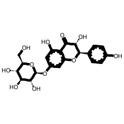 O=C1c2c(O)cc(O[C@@H]3O[C@H](CO)[C@@H](O)[C@H](O)[C@H]3O)cc2O[C@H](c2ccc(O)cc2)[C@H]1O